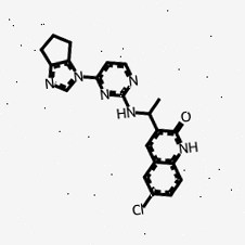 CC(Nc1nccc(-n2cnc3c2CCC3)n1)c1cc2cc(Cl)ccc2[nH]c1=O